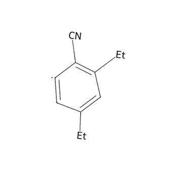 CCc1c[c]c(C#N)c(CC)c1